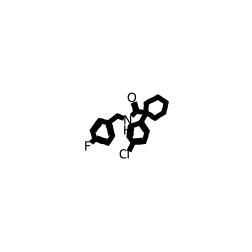 O=C(NCc1ccc(F)cc1)C1(c2ccc(Cl)cc2)CCCCC1